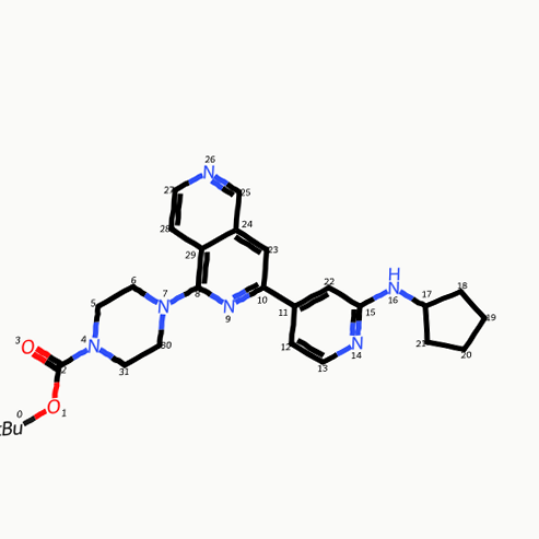 CC(C)(C)OC(=O)N1CCN(c2nc(-c3ccnc(NC4CCCC4)c3)cc3cnccc23)CC1